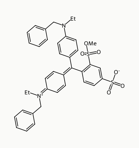 CCN(Cc1ccccc1)c1ccc(C(=C2C=CC(=[N+](CC)Cc3ccccc3)C=C2)c2ccc(S(=O)(=O)[O-])cc2S(=O)(=O)OC)cc1